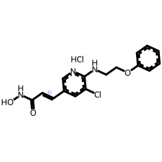 Cl.O=C(/C=C/c1cnc(NCCOc2ccccc2)c(Cl)c1)NO